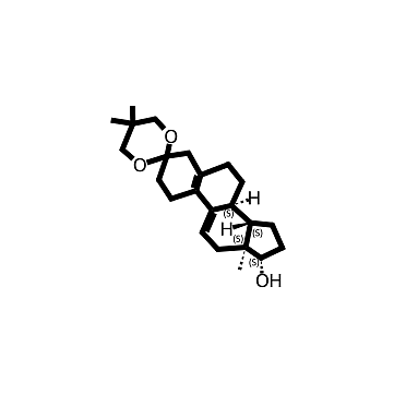 CC1(C)COC2(CCC3=C(CC[C@@H]4C3=CC[C@]3(C)[C@@H](O)CC[C@@H]43)C2)OC1